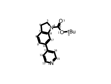 CC(C)(C)OC(=O)N1CCc2ccc(-c3ccncc3)cc21